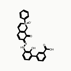 O=C1C(=NNc2cccc(-c3cccc(C(=O)O)c3)c2O)C=CC2=C1C[N+]([O-])(c1ccccc1)C=C2